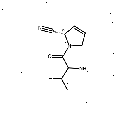 CC(C)C(N)C(=O)N1CC=C[C@H]1C#N